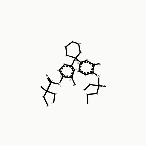 CCCC(C)(CC)Oc1ccc(C2(c3ccc(OC(=O)C(C)(CC)CC)c(C)c3)CCCCC2)cc1C